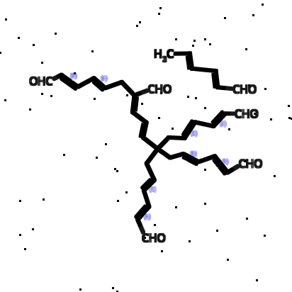 CC=CC=CC=O.O=C/C=C/C=C/CC(C=O)=CC=CC(C/C=C/C=C/C=O)(C/C=C/C=C/C=O)C/C=C/C=C/C=O